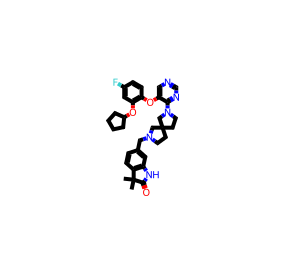 CC1(C)C(=O)Nc2cc(CN3CCC4(CCN(c5ncncc5Oc5ccc(F)cc5OC5CCCC5)C4)C3)ccc21